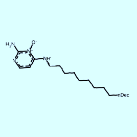 CCCCCCCCCCCCCCCCCCCNc1ccnc(N)[n+]1[O-]